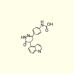 O=C(O)Nc1ccc(C2=NNC(=O)C(c3cccc4ncccc34)C2)cc1